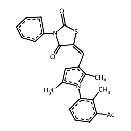 CC(=O)c1cccc(-n2c(C)cc(C=C3SC(=O)N(c4ccccc4)C3=O)c2C)c1C